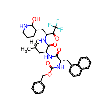 CC(C)C[C@H](NC(=O)[C@H](Cc1cccc2ccccc12)NC(=O)OCc1ccccc1)C(=O)N[C@@H](C[C@@H]1CCCNC1O)C(=O)C(F)(F)F